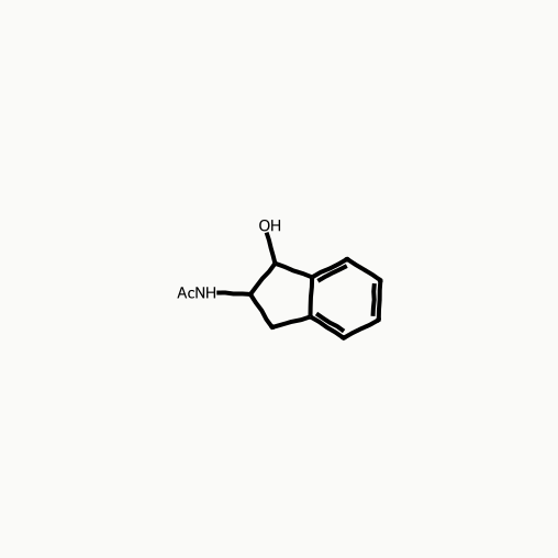 CC(=O)NC1Cc2ccccc2C1O